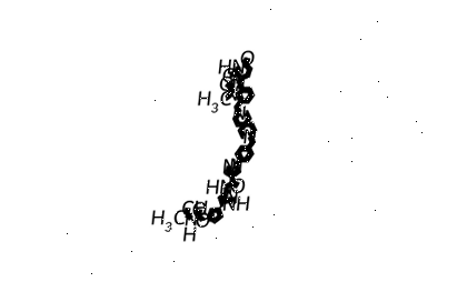 CC(C)NC(=O)O[C@@H]1CC[C@H](c2cc(NC(=O)c3cnn(-c4ccc(CN5CCC6(CC5)CCN(Cc5cccc7c5n(C)c(=O)n7C5CCC(=O)NC5=O)CC6)cc4)c3)n[nH]2)C1